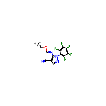 CCOC=Nc1c(C#N)cnn1-c1c(F)c(F)c(F)c(F)c1F